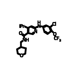 CC(C)c1cc(Nc2ccc(OC(F)(F)F)c(Cl)c2)ncc1C(=O)NCC1CCOCC1